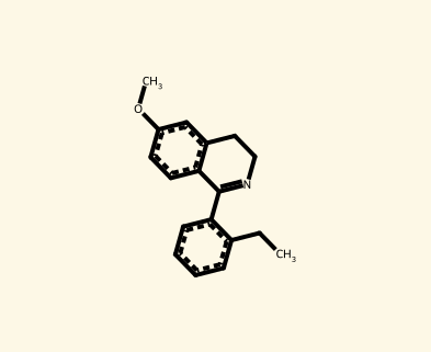 CCc1ccccc1C1=NCCc2cc(OC)ccc21